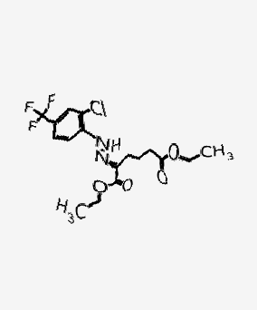 CCOC(=O)CCC/C(=N\Nc1ccc(C(F)(F)F)cc1Cl)C(=O)OCC